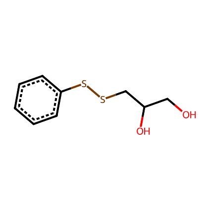 OCC(O)CSSc1ccccc1